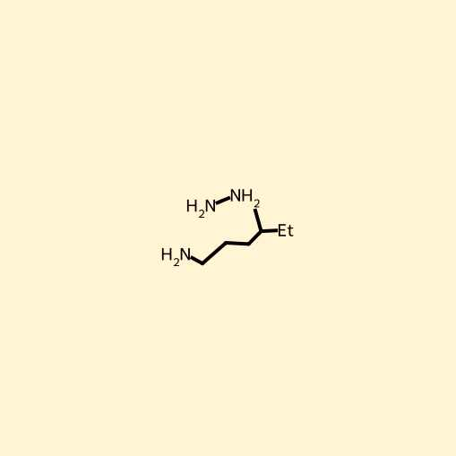 CCC(C)CCCN.NN